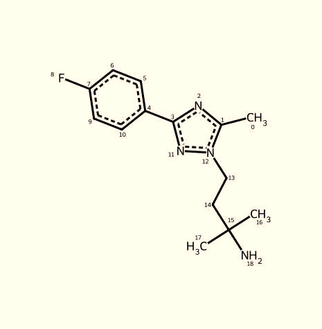 Cc1nc(-c2ccc(F)cc2)nn1CCC(C)(C)N